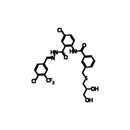 O=C(Nc1ccc(Cl)cc1C(=O)NN=Cc1ccc(Cl)c(C(F)(F)F)c1)c1cccc(CSCC(O)CO)c1